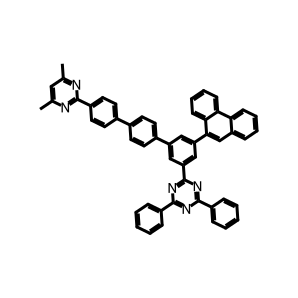 Cc1cc(C)nc(-c2ccc(-c3ccc(-c4cc(-c5nc(-c6ccccc6)nc(-c6ccccc6)n5)cc(-c5cc6ccccc6c6ccccc56)c4)cc3)cc2)n1